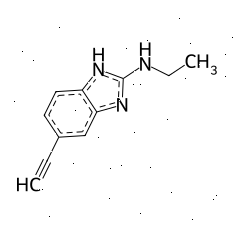 C#Cc1ccc2[nH]c(NCC)nc2c1